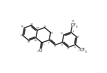 O=C1C(=Cc2cc(C(F)(F)F)cc(C(F)(F)F)c2)CCc2ccccc21